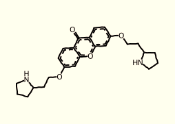 O=c1c2ccc(OCCC3CCCN3)cc2oc2cc(OCCC3CCCN3)ccc12